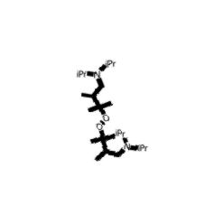 CC(C)N(CC(C)C(C)(C)OOC(C)(C)C(C)CN(C(C)C)C(C)C)C(C)C